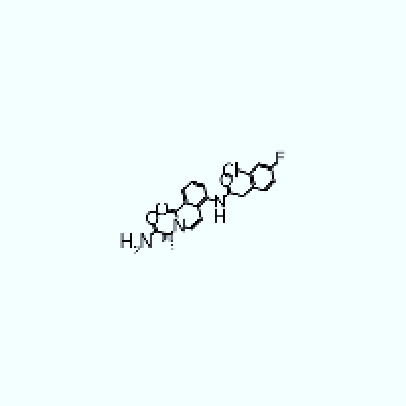 C[C@H](C(N)=O)n1ccc2c(NC(=O)Cc3ccc(F)cc3Cl)cccc2c1=O